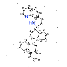 C1=CC(c2ccc(-c3cc4ccccc4c4ccccc34)c3ccccc23)Nc2c1ccc1cccnc21